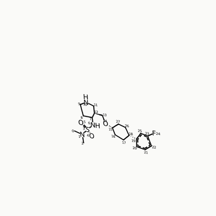 CN(C)S(=O)(=O)NC1CCNC[C@H]1CO[C@H]1CC[C@@H](c2cccc(F)c2)CC1